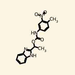 Cc1ccc(NC(=O)OC(C)c2nc3ccccc3[nH]2)cc1[N+](=O)[O-]